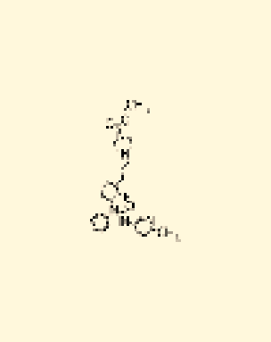 CCOC(=O)N1CCN(CCCc2cccc(N(C(=O)Nc3ccc(C)nc3)c3ccccc3)c2F)CC1